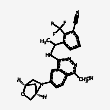 Cc1nnc(NC(C)c2cccc(C#N)c2C(F)(F)F)c2cc(N3C[C@H]4C[C@@H]3CO4)ccc12.Cl